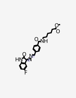 COC(=O)CCCCCNC(=O)c1ccc(/C=N/N=C2\C(=O)Nc3ccc(F)cc32)cc1